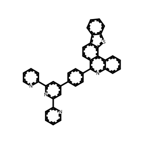 c1ccc(-c2cc(-c3ccc(-c4nc5ccccc5c5c4ccc4c6ccccc6sc45)cc3)cc(-c3ccccn3)n2)nc1